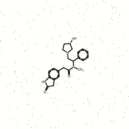 CN(C(=O)Cc1ccc2c(c1)CC(=O)N2)C(CN1CC[C@@H](O)C1)c1ccccc1